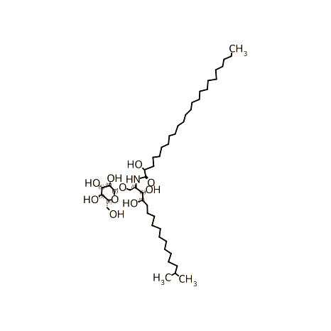 CCCCCCCCCCCCCCCCCCCCCCC(O)C(=O)N[C@H](CO[C@@H]1O[C@H](CO)[C@@H](O)[C@H](O)[C@H]1O)[C@H](O)[C@H](O)CCCCCCCCCCCC(C)C